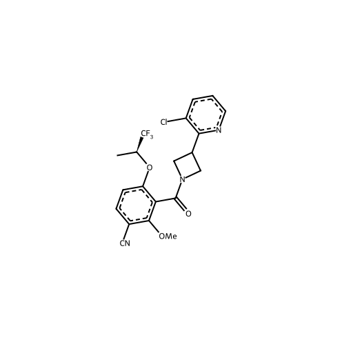 COc1c(C#N)ccc(O[C@@H](C)C(F)(F)F)c1C(=O)N1CC(c2ncccc2Cl)C1